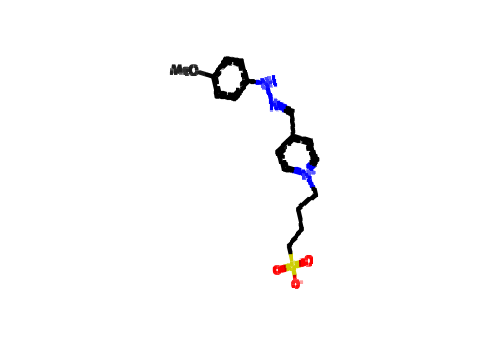 COc1ccc(N/N=C/c2cc[n+](CCCCS(=O)(=O)[O-])cc2)cc1